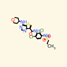 CCCS(=O)(=O)Nc1ccc(Cl)c(NC(=O)c2csc3c(NC4CCOCC4)ncnc23)c1Cl